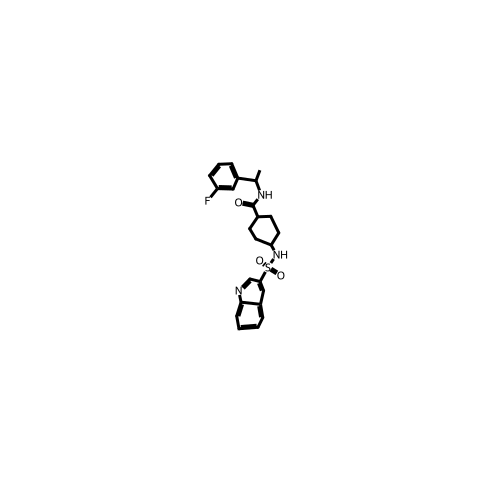 CC(NC(=O)C1CCC(NS(=O)(=O)c2cnc3ccccc3c2)CC1)c1cccc(F)c1